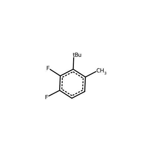 Cc1ccc(F)c(F)c1C(C)(C)C